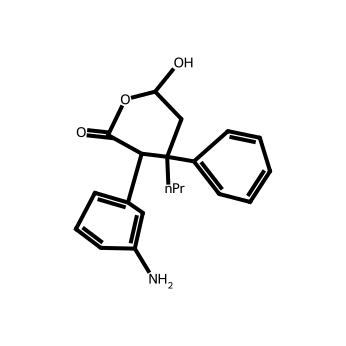 CCCC1(c2ccccc2)CC(O)OC(=O)C1c1cccc(N)c1